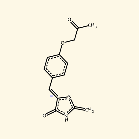 C=c1[nH]c(=O)/c(=C/c2ccc(OCC(C)=O)cc2)s1